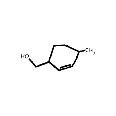 CC1C=CC(CO)CC1